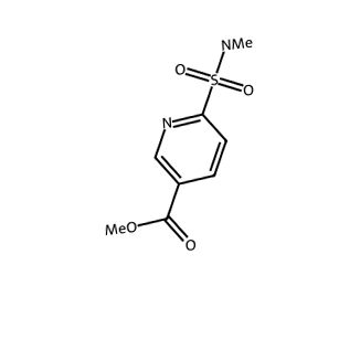 CNS(=O)(=O)c1ccc(C(=O)OC)cn1